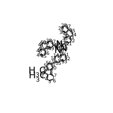 CC1(C)c2ccccc2-c2cc(-c3ccc4c(-c5nc(-c6ccc7ccc8ccccc8c7c6)nc(-c6ccc7ccc8ccccc8c7c6)n5)cccc4c3)ccc21